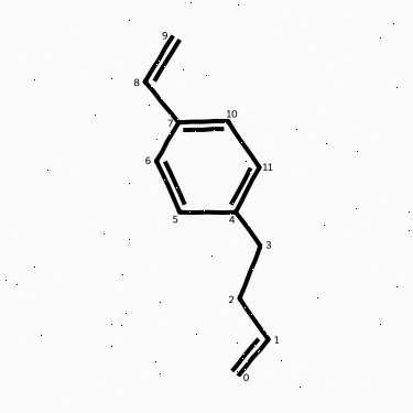 C=CCCc1ccc(C=C)cc1